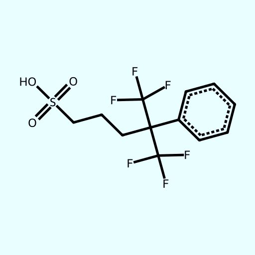 O=S(=O)(O)CCCC(c1ccccc1)(C(F)(F)F)C(F)(F)F